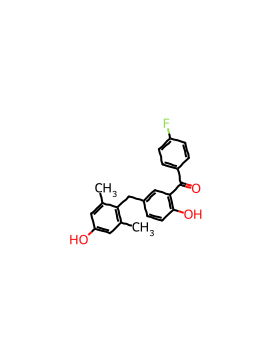 Cc1cc(O)cc(C)c1Cc1ccc(O)c(C(=O)c2ccc(F)cc2)c1